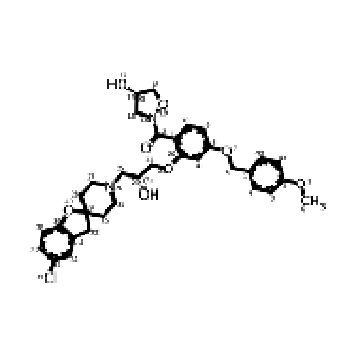 COc1ccc(COc2ccc(C(=O)N3C[C@@H](O)CO3)c(OC[C@H](O)CN3CCC4(CC3)Cc3cc(Cl)ccc3O4)c2)cc1